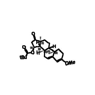 COC1=CC2=CC[C@H]3[C@@H]4[C@@H](OC(=O)C(C)(C)C)CC(=O)[C@@]4(C)CC[C@@H]3[C@@]2(C)CC1